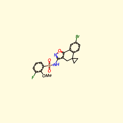 COc1c(F)cccc1S(=O)(=O)Nc1noc2c1CC1(CC1)c1ccc(Br)cc1-2